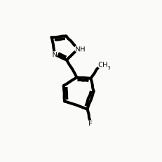 Cc1cc(F)ccc1-c1ncc[nH]1